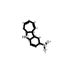 O=[N+]([O-])C1C=CC2NC3CC=CC=CC3C2C1